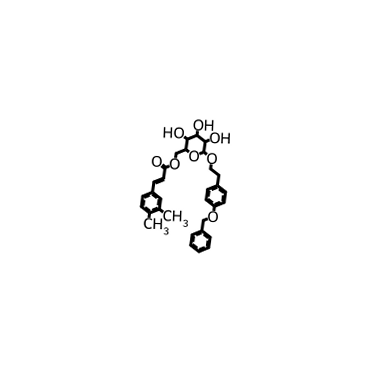 Cc1ccc(/C=C/C(=O)OCC2OC(OCCc3ccc(OCc4ccccc4)cc3)C(O)C(O)C2O)cc1C